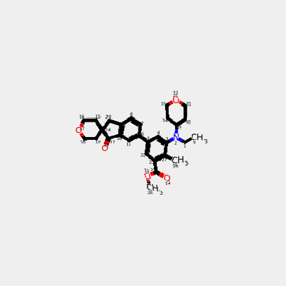 CCN(c1cc(-c2ccc3c(c2)C(=O)C2(CCOCC2)C3)cc(C(=O)OC)c1C)C1CCOCC1